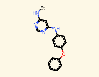 CCNc1cc(Nc2ccc(Oc3ccccc3)cc2)ncn1